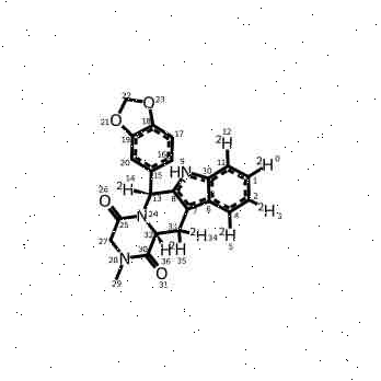 [2H]c1c([2H])c([2H])c2c3c([nH]c2c1[2H])[C@@]([2H])(c1ccc2c(c1)OCO2)N1C(=O)CN(C)C(=O)[C@H]1C3([2H])[2H]